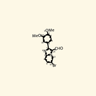 COc1ccc(-c2nc3ccc(Br)cn3c2C=O)cc1OC